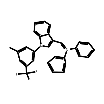 Cc1cc(-n2cc(C=[N+](c3ccccc3)c3ccccc3)c3ccccc32)cc(C(F)(F)F)c1